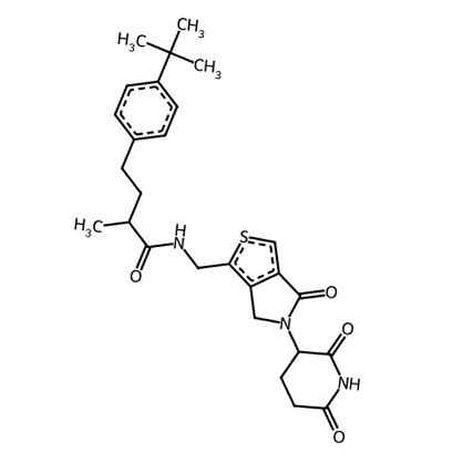 CC(CCc1ccc(C(C)(C)C)cc1)C(=O)NCc1scc2c1CN(C1CCC(=O)NC1=O)C2=O